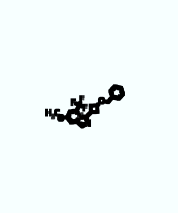 COc1cc(C(F)(F)F)n2c(C3CC(OCc4ccccc4)C3)ncc2c1